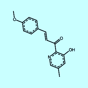 COc1ccc(/C=C/C(=O)c2ncc(C)cc2O)cc1